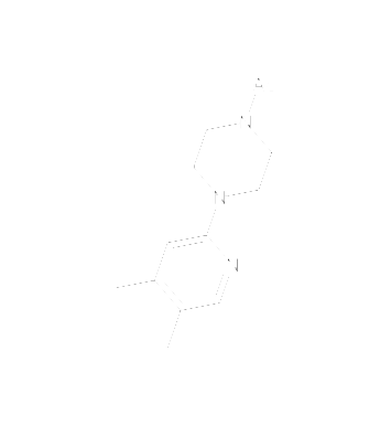 CC(=O)N1CCN(c2cc(C)c(C)cn2)CC1